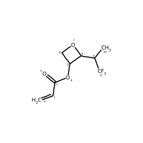 C=CC(=O)OC1COC1C(C)C(F)(F)F